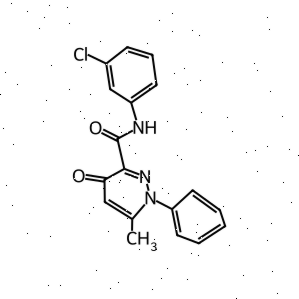 Cc1cc(=O)c(C(=O)Nc2cccc(Cl)c2)nn1-c1ccccc1